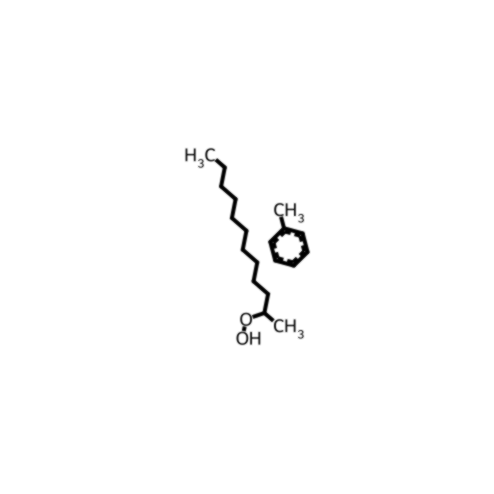 CCCCCCCCCCC(C)OO.Cc1ccccc1